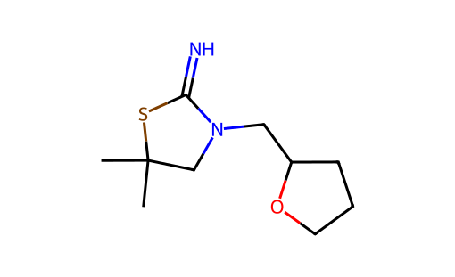 CC1(C)CN(CC2CCCO2)C(=N)S1